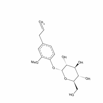 C=CCc1ccc(O[C@H]2O[C@H](CO)[C@@H](O)[C@H](O)[C@H]2O)c(OC)c1